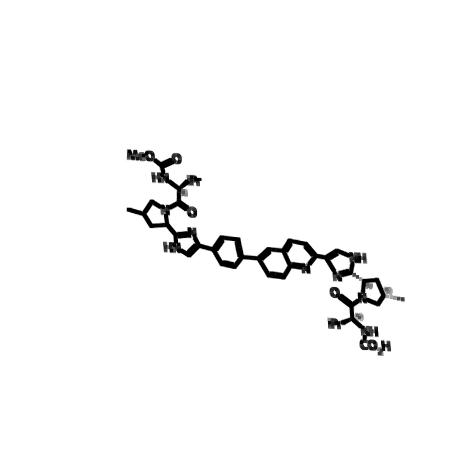 COC(=O)N[C@H](C(=O)N1CC(C)CC1c1nc(-c2ccc(-c3ccc4nc(-c5c[nH]c([C@@H]6C[C@H](C)CN6C(=O)[C@@H](NC(=O)O)C(C)C)n5)ccc4c3)cc2)c[nH]1)C(C)C